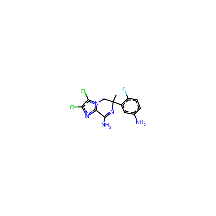 CC1(c2cc(N)ccc2F)Cn2c(nc(Cl)c2Cl)C(N)=N1